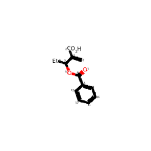 C=C(C(=O)O)C(CC)OC(=O)c1ccccc1